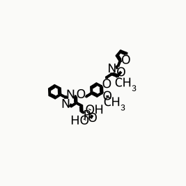 COc1cc(COc2nc(-c3ccccc3)ncc2C=CP(=O)(O)O)ccc1OCc1nc(-c2ccco2)oc1C